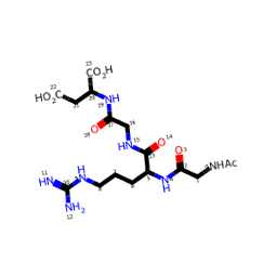 CC(=O)NCC(=O)NC(CCCNC(=N)N)C(=O)NCC(=O)NC(CC(=O)O)C(=O)O